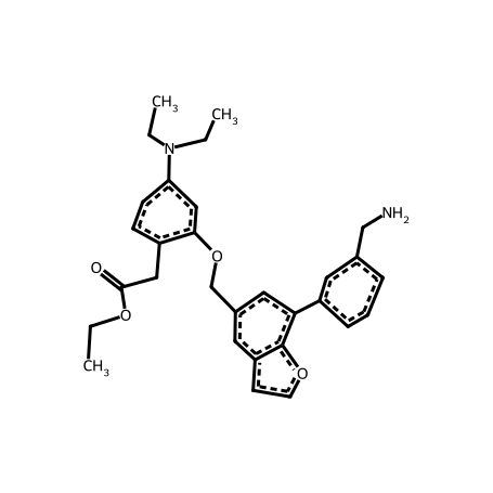 CCOC(=O)Cc1ccc(N(CC)CC)cc1OCc1cc(-c2cccc(CN)c2)c2occc2c1